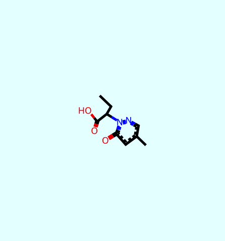 CCC(C(=O)O)n1ncc(C)cc1=O